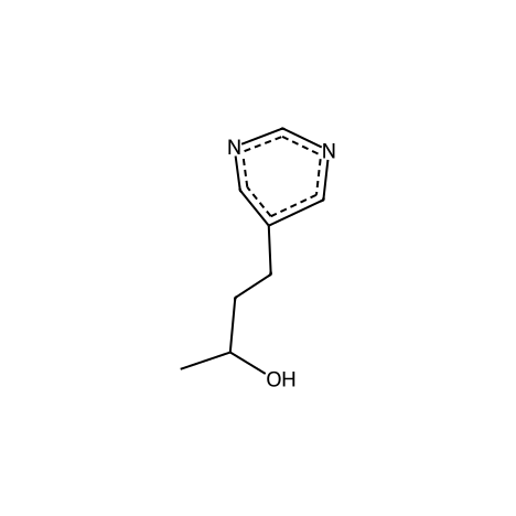 CC(O)CCc1cncnc1